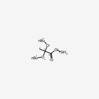 CCCCOC(C)(OCCCC)C(=O)O[SiH3]